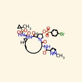 Cn1ccc(C(=O)N[C@H]2CCCCC/C=C\[C@@H]3C[C@@]3(C(=O)NS(=O)(=O)C3(C)CC3)NC(=O)[C@@H]3CC(OS(=O)(=O)c4ccc(Br)cc4)CN3C2=O)n1